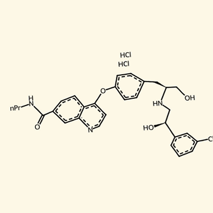 CCCNC(=O)c1ccc2c(Oc3ccc(C[C@@H](CO)NC[C@H](O)c4cccc(Cl)c4)cc3)ccnc2c1.Cl.Cl